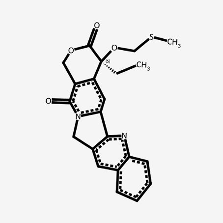 CC[C@@]1(OCSC)C(=O)OCc2c1cc1n(c2=O)Cc2cc3ccccc3nc2-1